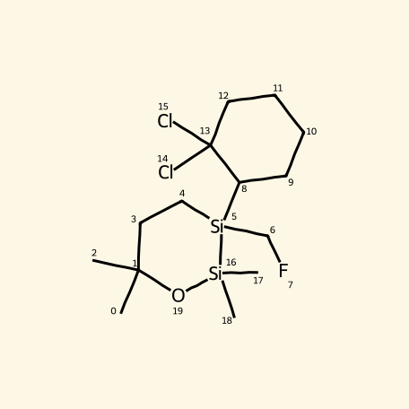 CC1(C)CC[Si](CF)(C2CCCCC2(Cl)Cl)[Si](C)(C)O1